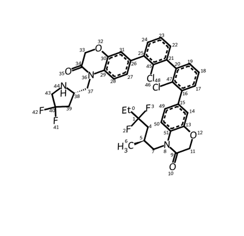 CCC(F)(F)C[C@H](C)CN1C(=O)COc2cc(-c3cccc(-c4cccc(-c5ccc6c(c5)OCC(=O)N6C[C@@H]5CC(F)(F)CN5)c4Cl)c3Cl)ccc21